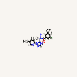 C[C@H](NC(=O)c1cc(F)cc(C(F)(F)F)c1)c1ncnn1-c1ccc(C#N)cn1